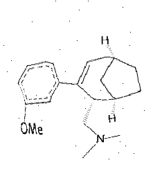 COc1cccc(C2=C[C@H]3CC[C@H](C3)[C@@H]2CN(C)C)c1